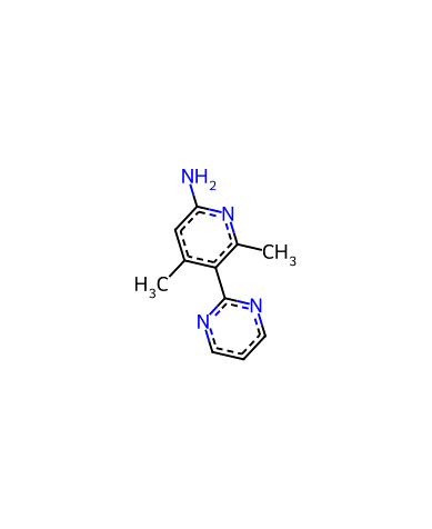 Cc1cc(N)nc(C)c1-c1ncccn1